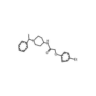 CCc1ccc(OCC(=O)NC2CCN(C(C)c3ccccc3)CC2)cc1